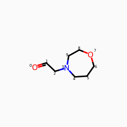 O=CCN1CCCOCC1